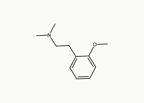 COc1cc[c]cc1CCN(C)C